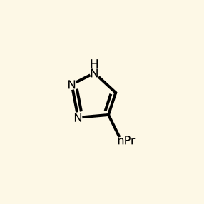 [CH2]CCc1c[nH]nn1